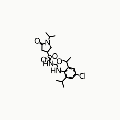 CC(C)c1cc(Cl)cc(C(C)C)c1NC(=O)NS(=O)(=O)C1CC(=O)N(C(C)C)C1